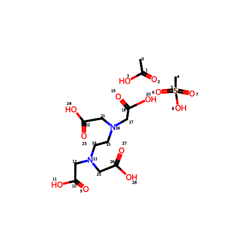 CC(=O)O.CS(=O)(=O)O.O=C(O)CN(CCN(CC(=O)O)CC(=O)O)CC(=O)O